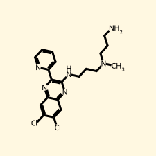 CN(CCCN)CCCNc1nc2cc(Cl)c(Cl)cc2nc1-c1ccccn1